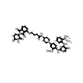 COc1cc(N2CCC(NC(=O)CCCSc3cccc4c3C(=O)N(C3CCC(=O)NC3=O)C4=O)CC2)ccc1Nc1ncc(Cl)c(Nc2ccccc2P(C)C)n1